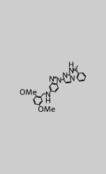 COc1ccc(OC)c(CNc2ccc3c(c2)ncn3-c2ccnc(N[C@@H](C)c3ccccc3)n2)c1